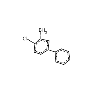 Bc1cc(-c2ccccc2)ccc1Cl